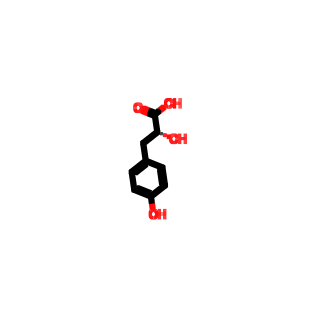 O=C(O)[C@H](O)Cc1ccc(O)cc1